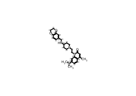 Cc1cc(=O)n(CCN2CCC(NCc3ccc4c(c3)OCCO4)CC2)c2cc(N(C)C)ccc12